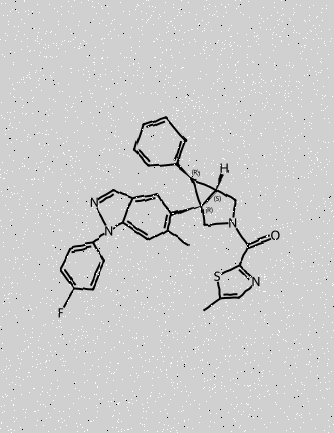 Cc1cnc(C(=O)N2C[C@H]3[C@H](c4ccccc4)[C@@]3(c3cc4cnn(-c5ccc(F)cc5)c4cc3C)C2)s1